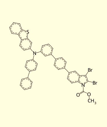 COC(=O)n1c(Br)c(Br)c2cc(-c3ccc(-c4cccc(N(c5ccc(-c6ccccc6)cc5)c5ccc6c(c5)sc5ccccc56)c4)cc3)ccc21